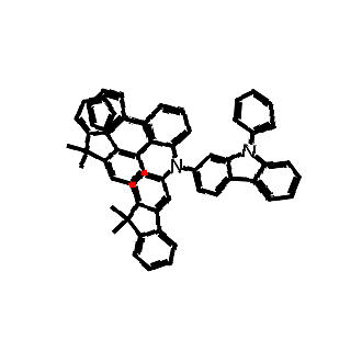 CC1(C)c2ccccc2-c2cc(N(c3ccc4c5ccccc5n(-c5ccccc5)c4c3)c3cccc(-c4ccccc4)c3-c3cccc4c3-c3ccccc3C4(C)C)ccc21